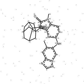 Cc1cc2ncnn2cc1Nc1ncc2c(n1)n(C13CC4CC(C1)C(C#N)C(C4)C3)c(=O)n2C